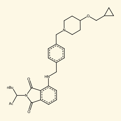 CCCCC(C(C)=O)N1C(=O)c2cccc(NCc3ccc(CN4CCC(OCC5CC5)CC4)cc3)c2C1=O